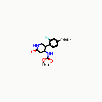 COc1ccc(C2CNC(=O)CC2NC(=O)OC(C)(C)C)c(F)c1